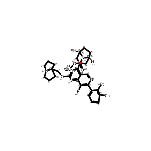 CCc1c(Cl)cccc1-c1ncc2c(N3C[C@H]4CC[C@@H](C3)N4C(=O)OC(C)(C)C)nc(OCC34CCCN3CCC4)nc2c1F